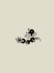 [2H]C([2H])([2H])N1CCC(n2cc(-c3cnc(N)c(O[C@@H](C)c4c(Cl)ccc(F)c4Cl)c3)cn2)CC1